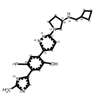 Cc1ncc(-c2cc(O)c(-c3ccc(N4CC[C@@H](NCC5CCC5)C4)nn3)cc2F)s1